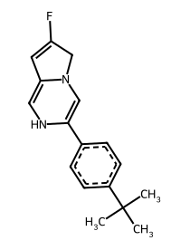 CC(C)(C)c1ccc(C2=CN3CC(F)=CC3=CN2)cc1